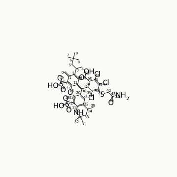 C=c1c(C(C)CC(C)(C)C)cc2c(c1S(=O)(=O)O)Oc1c(cc3c(c1S(=O)(=O)O)NC(C)(C)CC3C)C=2c1c(Cl)c(SCC(N)=O)c(Cl)c(Cl)c1C(=O)O